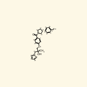 CC(O)(COc1ccc(C(=O)N2CC[C@H](c3ccc(F)cc3)C2)cc1)Cn1ncnn1